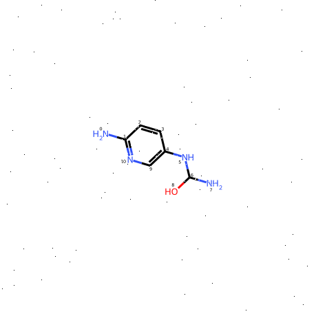 Nc1ccc(NC(N)O)cn1